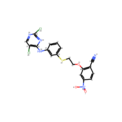 N#Cc1ccc([N+](=O)[O-])cc1OCCSc1cccc(Nc2nc(Cl)ncc2Cl)c1